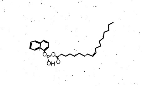 CCCCCCCC/C=C\CCCCCCCC(=O)OP(O)Oc1cccc2ccccc12